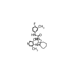 Cc1cc(NC(=O)NCC2(CNc3c(C)cncc3C)CCCCCC2)ccc1F